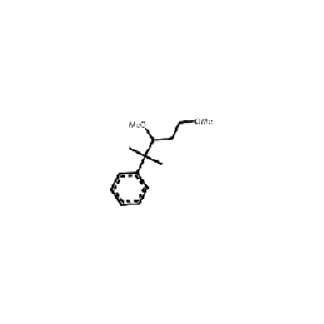 COCCC(OC)C(C)(C)c1ccccc1